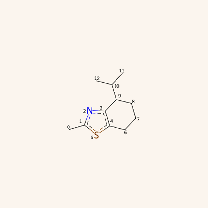 Cc1nc2c(s1)CCCC2C(C)C